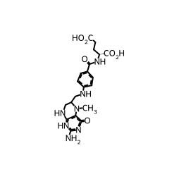 CN1c2c([nH]c(N)nc2=O)NCC1CNc1ccc(C(=O)N[C@H](CCC(=O)O)C(=O)O)cc1